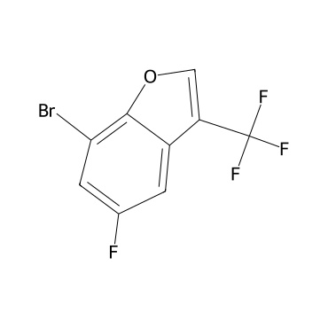 Fc1cc(Br)c2occ(C(F)(F)F)c2c1